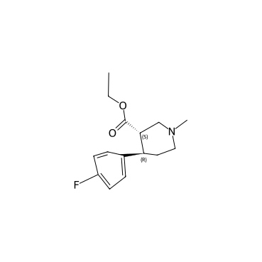 CCOC(=O)[C@@H]1CN(C)CC[C@H]1c1ccc(F)cc1